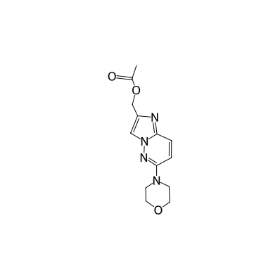 CC(=O)OCc1cn2nc(N3CCOCC3)ccc2n1